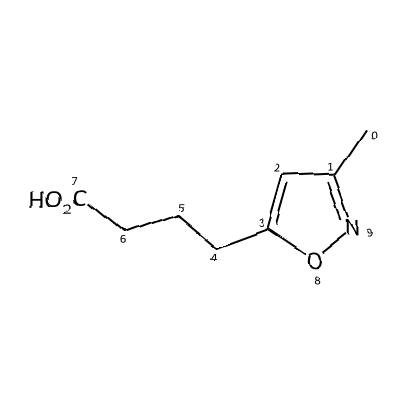 Cc1cc(CCCC(=O)O)on1